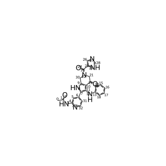 CC(=O)Nc1cc(-c2[nH]c3c(c2Nc2ccccc2)C(=O)CN(C(=O)c2cnc[nH]2)C3)ccn1